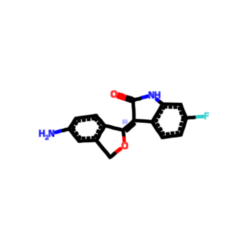 Nc1ccc2c(c1)CO/C2=C1/C(=O)Nc2cc(F)ccc21